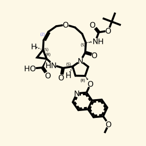 COc1ccc2c(O[C@@H]3C[C@H]4C(=O)N[C@]5(C(=O)O)C[C@H]5/C=C\COCC[C@H](NC(=O)OC(C)(C)C)C(=O)N4C3)nccc2c1